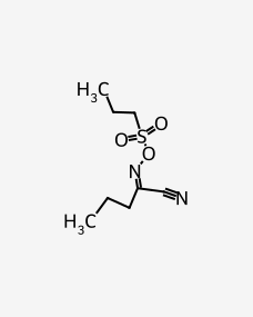 CCCC(C#N)=NOS(=O)(=O)CCC